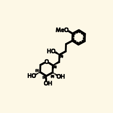 COc1ccccc1CC[C@H](O)C[C@@H]1OC[C@@H](O)[C@H](O)[C@H]1O